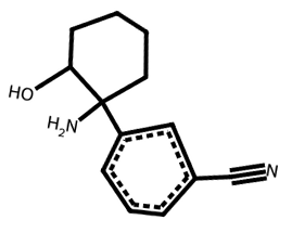 N#Cc1cccc(C2(N)CCCCC2O)c1